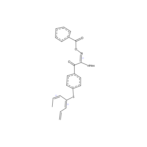 C=C/C=C(\C=C/C)Sc1ccc(C(=O)/C(CCCCCC)=N\OC(=O)c2ccccc2)cc1